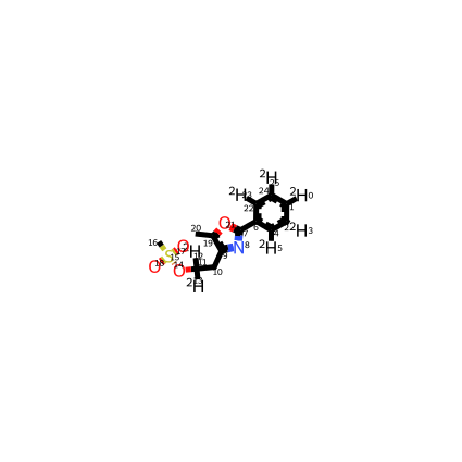 [2H]c1c([2H])c([2H])c(-c2nc(CC([2H])([2H])OS(C)(=O)=O)c(C)o2)c([2H])c1[2H]